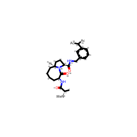 CN[C@@H](C)C(=O)N[C@H]1CCCC[C@H]2CC[C@@H](C(=O)NCc3cccc(C(C(C)=O)C(C)=O)c3)N2C1=O